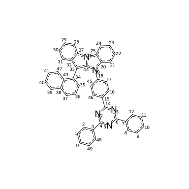 c1ccc(-c2nc(-c3ccccc3)nc(-c3ccc(-n4c5ccccc5n5c6ccccc6c(-c6cccc7ccccc67)c45)cc3)n2)cc1